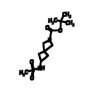 CC(C)(C)OC(=O)N1CC2(CC(NS(C)(=O)=O)C2)C1